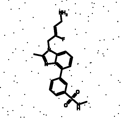 CNS(=O)(=O)c1cccc(-c2cccc3c2nc(C)n3CC(F)=CCN)c1